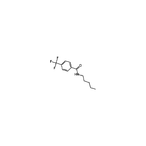 CCCCCNC(=O)c1ccc(C(F)(F)F)cc1